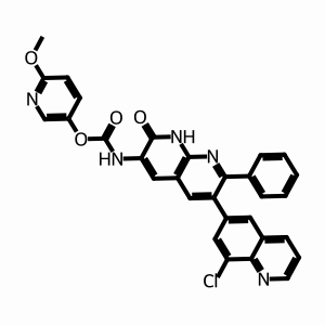 COc1ccc(OC(=O)Nc2cc3cc(-c4cc(Cl)c5ncccc5c4)c(-c4ccccc4)nc3[nH]c2=O)cn1